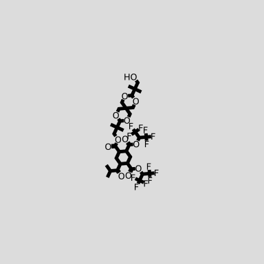 CC(C)C(=O)C1CC(C(=O)OCC(C)(C)C2OCC3(COC(C(C)(C)CO)OC3)CO2)C(C(=O)OC(C(F)(F)F)C(F)(F)F)CC1C(=O)OC(C(F)(F)F)C(F)(F)F